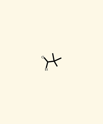 [CH2]CC(Cl)C(C)(C)C